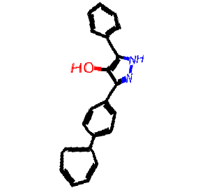 Oc1c(-c2ccc(-c3ccccc3)cc2)n[nH]c1-c1ccccc1